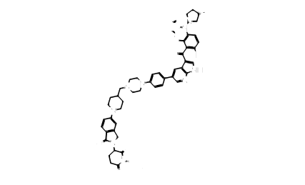 [CH2]N1C(=O)CCC(N2Cc3cc(N4CCC(CN5CCN(c6ccc(-c7cnc8[nH]cc(C(=O)c9c(F)ccc(N(N%10CC[C@@H](F)C%10)[SH](=O)=O)c9F)c8c7)cc6)CC5)CC4)ccc3C2=O)C1=O